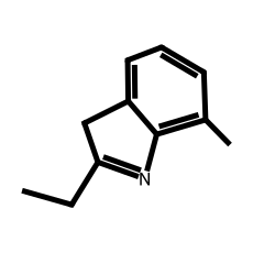 CCC1=Nc2c(C)cccc2C1